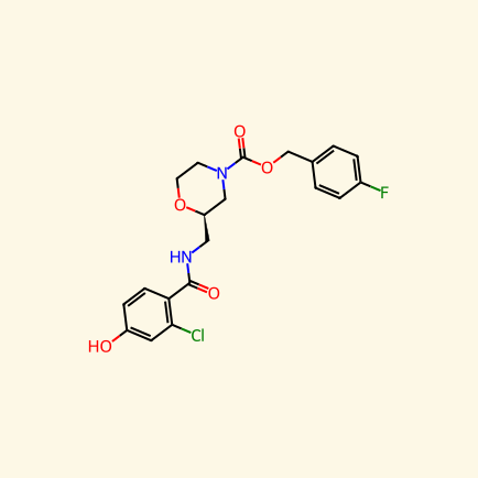 O=C(NC[C@@H]1CN(C(=O)OCc2ccc(F)cc2)CCO1)c1ccc(O)cc1Cl